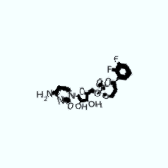 Nc1ccn([C@@H]2OC(CO[P@]3(=O)OCC[C@H](c4cccc(F)c4F)O3)[C@@H](O)[C@@H]2O)c(=O)n1